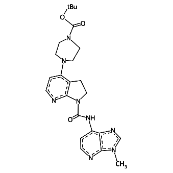 Cn1cnc2c(NC(=O)N3CCc4c(N5CCN(C(=O)OC(C)(C)C)CC5)ccnc43)ccnc21